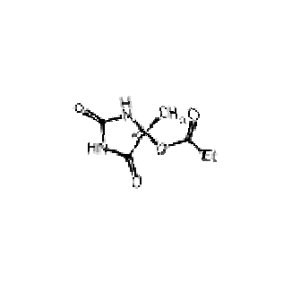 CCC(=O)O[C@@]1(C)NC(=O)NC1=O